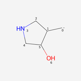 [CH2]C1CNCC1O